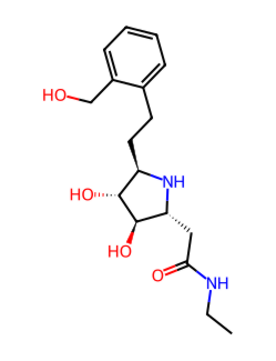 CCNC(=O)C[C@H]1N[C@H](CCc2ccccc2CO)[C@@H](O)[C@@H]1O